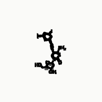 Nc1nc(=O)n([C@H]2C[C@@H](O)[C@@H](CO)O2)cc1C#Cc1cc(I)cc(I)c1